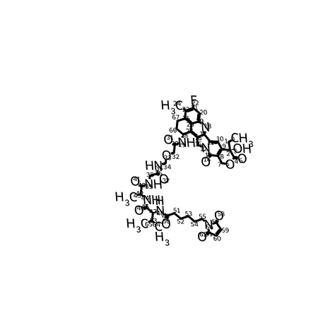 CC[C@@]1(O)C(=O)OCc2c1cc1n(c2=O)Cc2c-1nc1cc(F)c(C)c3c1c2[C@@H](NC(=O)COCNC(=O)CNC(=O)[C@H](C)NC(=O)[C@@H](NC(=O)CCCCCN1C(=O)C=CC1=O)C(C)C)CC3